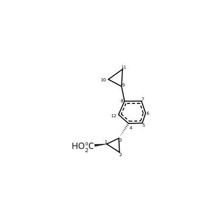 O=C(O)[C@@H]1C[C@H]1c1cccc(C2CC2)c1